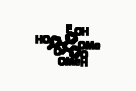 COc1cc(C2=C(c3ccc(O)c(F)c3)c3ccc(O)c(C)c3OC2)cc(OC)c1O